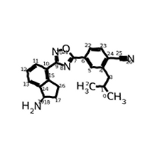 CC(C)Cc1cc(-c2nc(-c3cccc4c3CC[C@H]4N)no2)ccc1C#N